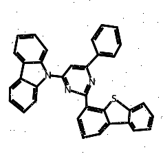 c1ccc(-c2cc(-n3c4ccccc4c4ccccc43)nc(-c3cccc4c3sc3ccccc34)n2)cc1